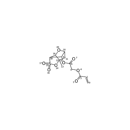 C=CC(=O)OCC(=O)OC1C2CC3(C)OS(=O)(=O)C1C3O2